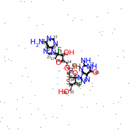 Nc1nc2c(nnn2[C@]2(OP(=S)(S)OC[C@H]3OC[C@](F)(n4cnc5c(N)ncnc54)[C@@H]3O)CS[C@H](CO)[C@H]2F)c(=O)[nH]1